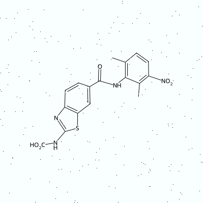 Cc1ccc([N+](=O)[O-])c(C)c1NC(=O)c1ccc2nc(NC(=O)O)sc2c1